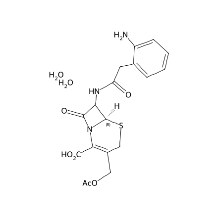 CC(=O)OCC1=C(C(=O)O)N2C(=O)C(NC(=O)Cc3ccccc3N)[C@H]2SC1.O.O